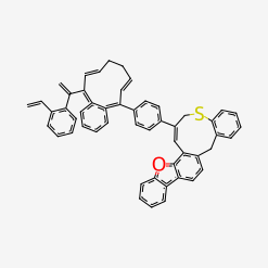 C=Cc1ccccc1C(=C)C1=c2\cccc\c2=C(c2ccc(/C3=C/c4c(ccc5c4oc4ccccc45)Cc4ccccc4SC3)cc2)\C=C\CC\C=C\1